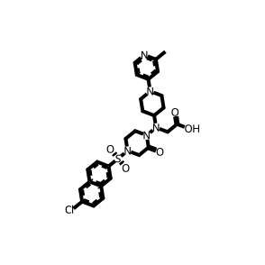 Cc1cc(N2CCC(N(CC(=O)O)N3CCN(S(=O)(=O)c4ccc5cc(Cl)ccc5c4)CC3=O)CC2)ccn1